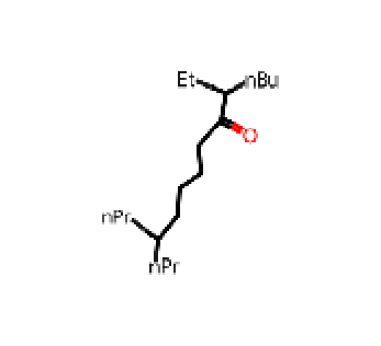 CCCCC(CC)C(=O)CCCCC(CCC)CCC